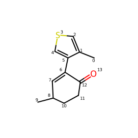 Cc1cscc1C1=CC(C)CCC1=O